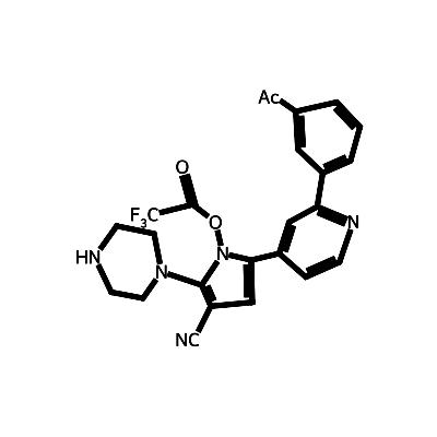 CC(=O)c1cccc(-c2cc(-c3cc(C#N)c(N4CCNCC4)n3OC(=O)C(F)(F)F)ccn2)c1